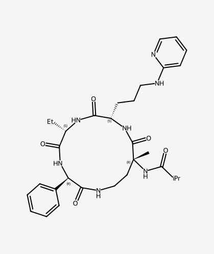 CC[C@@H]1NC(=O)[C@H](CCCNc2ccccn2)NC(=O)[C@](C)(NC(=O)C(C)C)CCNC(=O)[C@@H](c2ccccc2)NC1=O